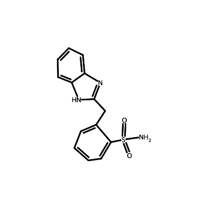 NS(=O)(=O)c1ccccc1Cc1nc2ccccc2[nH]1